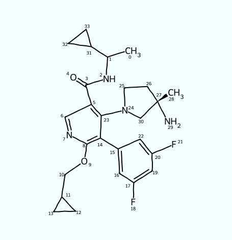 CC(NC(=O)c1cnc(OCC2CC2)c(-c2cc(F)cc(F)c2)c1N1CC[C@](C)(N)C1)C1CC1